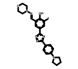 Oc1c(F)cc(-c2nc(-c3ccc(N4CCCC4)cc3)ns2)cc1C=NN1CCOCC1